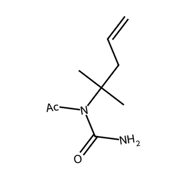 C=CCC(C)(C)N(C(C)=O)C(N)=O